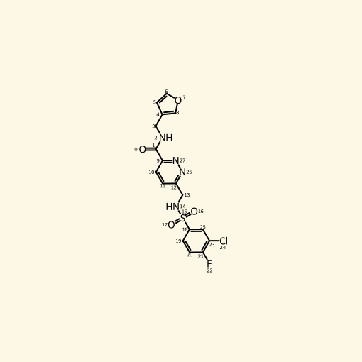 O=C(NCc1ccoc1)c1ccc(CNS(=O)(=O)c2ccc(F)c(Cl)c2)nn1